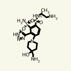 C[C@@H](CN)NS(=O)(=O)c1ccc(N2CCC(O)(CN)CC2)c(-c2nn[nH]n2)c1S(N)(=O)=O